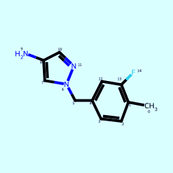 Cc1ccc(Cn2cc(N)cn2)cc1F